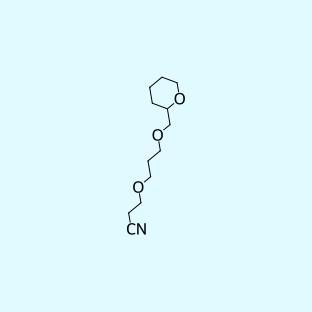 N#CCCOCCCOCC1CCCCO1